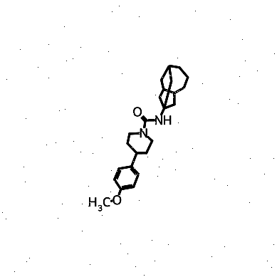 COc1ccc(C2CCN(C(=O)NC34CC5CCCC(C3)C(C5)C4)CC2)cc1